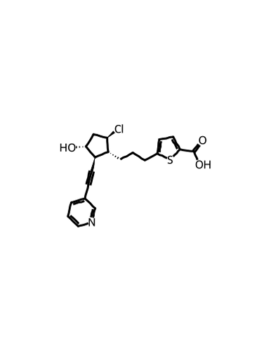 O=C(O)c1ccc(CCC[C@@H]2[C@@H](C#Cc3cccnc3)[C@H](O)C[C@H]2Cl)s1